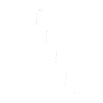 CCCCCCCC(=O)O.[SnH2]